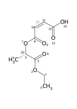 CCOC(=O)[C@H](C)OC(=O)/C=C\C(=O)O